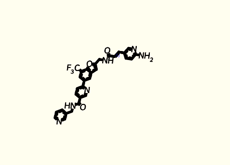 Nc1ccc(/C=C/C(=O)NCc2cc3cc(-c4ccc(C(=O)NCc5cccnc5)cn4)cc(C(F)(F)F)c3o2)cn1